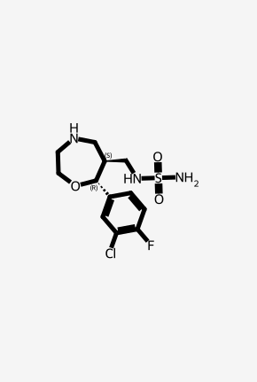 NS(=O)(=O)NC[C@@H]1CNCCO[C@H]1c1ccc(F)c(Cl)c1